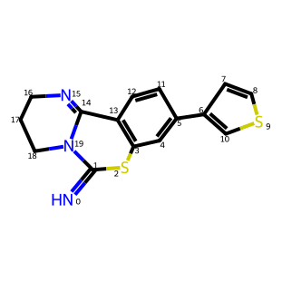 N=C1Sc2cc(-c3ccsc3)ccc2C2=NCCCN12